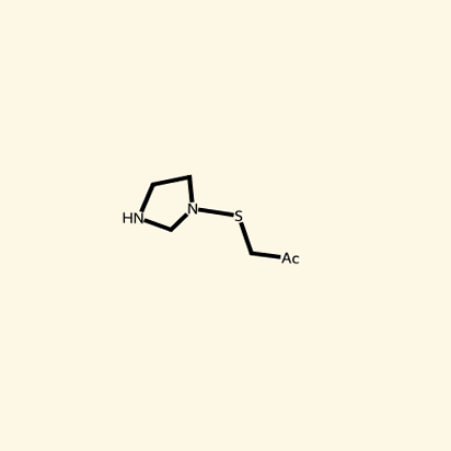 CC(=O)CSN1CCNC1